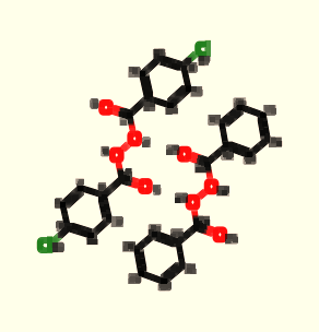 O=C(OOC(=O)c1ccc(Cl)cc1)c1ccc(Cl)cc1.O=C(OOC(=O)c1ccccc1)c1ccccc1